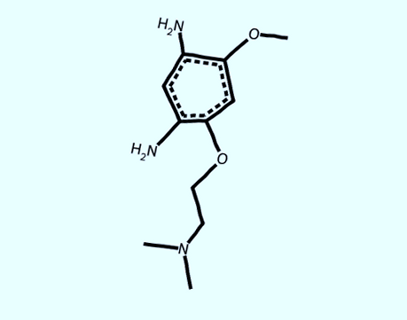 COc1cc(OCCN(C)C)c(N)cc1N